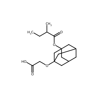 CCC(C)C(=O)OC12CC3CC(CC(OCC(=O)O)(C3)C1)C2